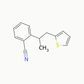 CC(Cc1cccs1)c1ccccc1C#N